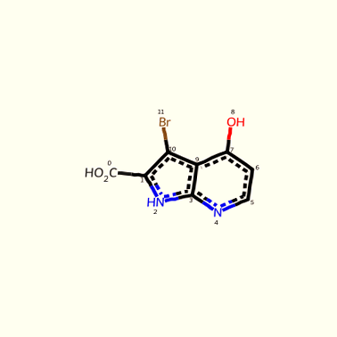 O=C(O)c1[nH]c2nccc(O)c2c1Br